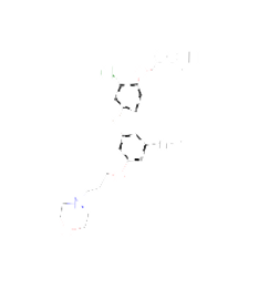 CCCc1cc(OCCCN2CCOCC2)cc(Sc2ccc(OCC(=O)O)c(Cl)c2)c1